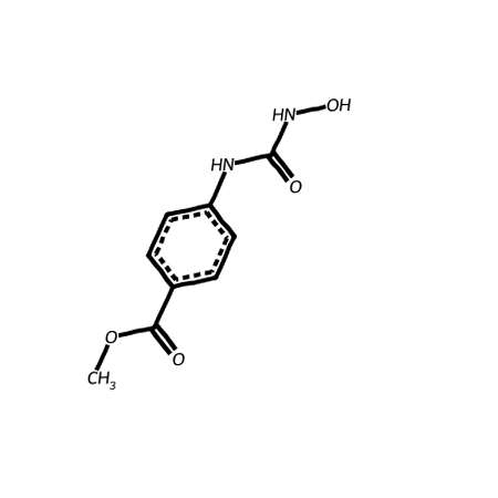 COC(=O)c1ccc(NC(=O)NO)cc1